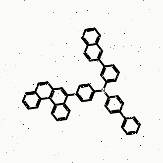 c1ccc(-c2ccc(N(c3ccc(-c4cc5ccc6ccccc6c5c5ccccc45)cc3)c3cccc(-c4ccc5ccccc5c4)c3)cc2)cc1